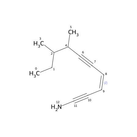 CCC(C)C(C)C#C/C=C\C#CN